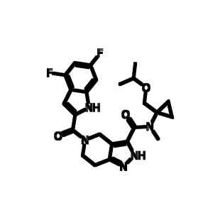 CC(C)OCC1(N(C)C(=O)c2[nH]nc3c2CN(C(=O)c2cc4c(F)cc(F)cc4[nH]2)CC3)CC1